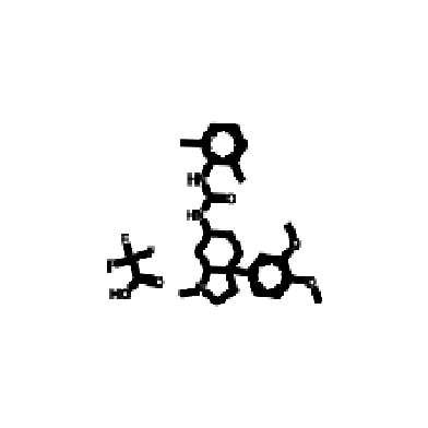 COc1ccc(C23CCC(NC(=O)Nc4c(C)cccc4C)CC2N(C)CC3)cc1OC.O=C(O)C(F)(F)F